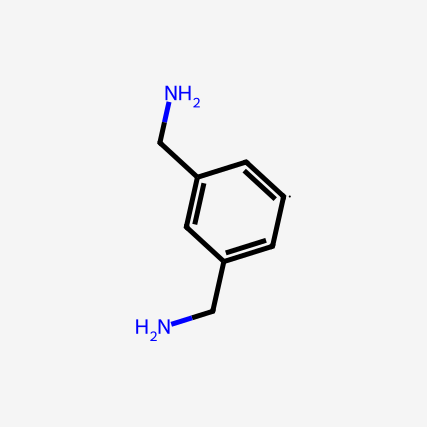 NCc1c[c]cc(CN)c1